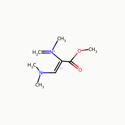 C=[N+](C)/C(=C\N(C)C)C(=O)OC